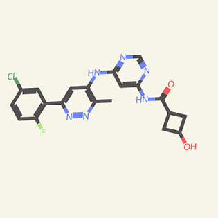 Cc1nnc(-c2cc(Cl)ccc2F)cc1Nc1cc(NC(=O)C2CC(O)C2)ncn1